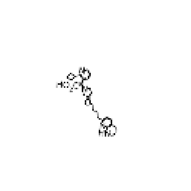 O=C(O)[C@@H](c1cccnc1C1CCC1)N1CC[C@@H](OCCCCc2ccc3c(n2)NCCC3)C1